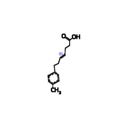 Cc1ccc(CC/C=C/CCC(=O)O)cc1